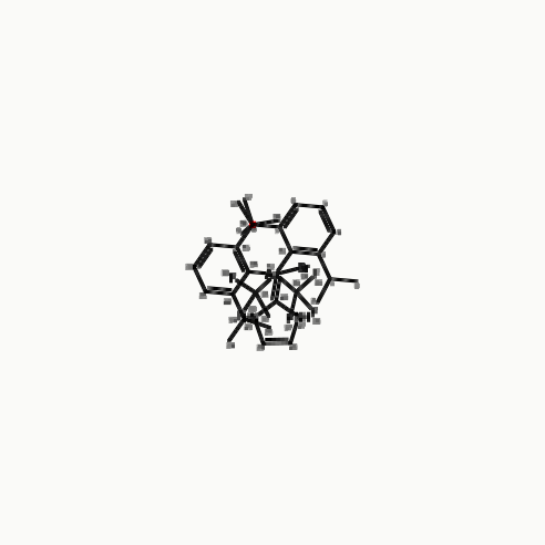 CC(C)c1cccc(C(C)C)[c]1[Au]([Br])([c]1c(C(C)C)cccc1C(C)C)(=[c]1[nH]cc[nH]1)([C](C)(F)F)[C](F)(F)F